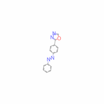 c1ccc(/N=N/c2ccc(-c3nnco3)cc2)cc1